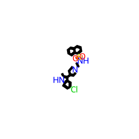 Cc1[nH]c2ccc(Cl)cc2c1C1=CCN(CCNS(=O)(=O)c2cccc3ccccc23)CC1